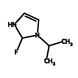 CC(C)N1C=CNC1F